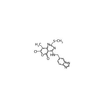 CSc1nc(NCc2ccc3ncnn3c2)c2c(=O)oc(Cl)c(C)c2n1